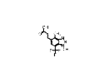 Cc1c(CCC(=O)O)cc(C(F)(F)F)c2c1nnn2C